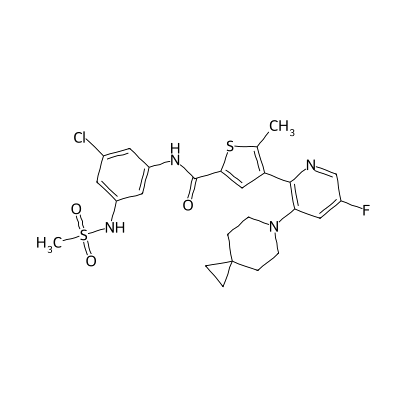 Cc1sc(C(=O)Nc2cc(Cl)cc(NS(C)(=O)=O)c2)cc1-c1ncc(F)cc1N1CCC2(CC1)CC2